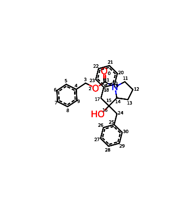 O=C(OCc1ccccc1)N1CCCC1C(O)(Cc1ccccc1)Cc1ccccc1